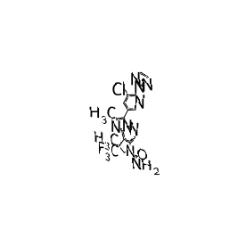 Cc1nc2c3c(cnn2c1-c1cnc(-n2nccn2)c(Cl)c1)N(C(N)=O)CC3(C)C(F)(F)F